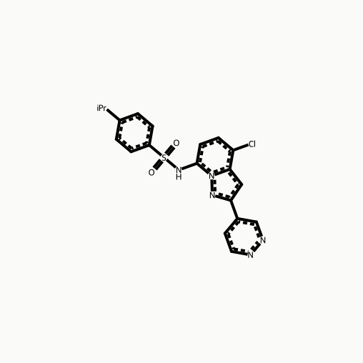 CC(C)c1ccc(S(=O)(=O)Nc2ccc(Cl)c3cc(-c4ccnnc4)nn23)cc1